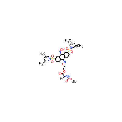 CC(C)C(NC(=O)OC(C)(C)C)C(=O)OCCON=C1c2ccc(S(=O)(=O)N3C[C@H](C)C[C@H](C)C3)cc2C(=NO)c2cc(S(=O)(=O)N3C[C@H](C)C[C@H](C)C3)ccc21